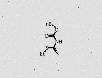 CCCCOC(=O)NC(=S)SCC